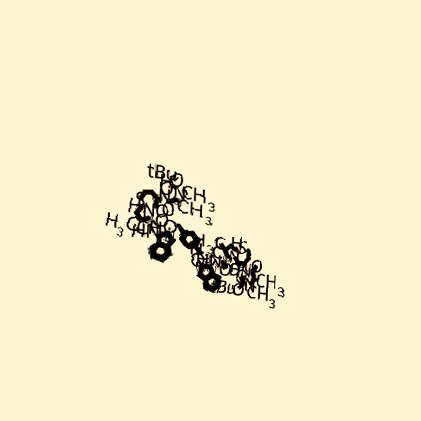 C[C@@H](C(=O)N[C@H]1CCS[C@H]2CC(C)(C)[C@@H](C(=O)N[C@H]3c4ccccc4C[C@H]3OCc3ccc(CO[C@@H]4Cc5ccccc5[C@@H]4NC(=O)[C@H]4N5C(=O)[C@@H](NC(=O)[C@H](C)N(C)C(=O)OC(C)(C)C)CCS[C@H]5CC4(C)C)cc3)N2C1=O)N(C)C(=O)OC(C)(C)C